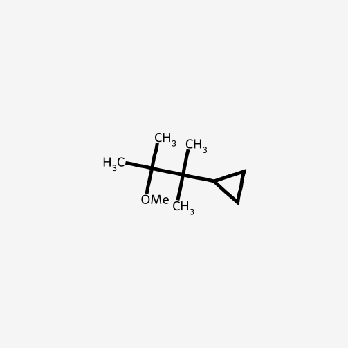 COC(C)(C)C(C)(C)C1CC1